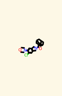 O=C(N1Cc2cc(Cl)c(N3CCOCC3)cc2C1)C12CC3CC(CC(C3)C1)C2